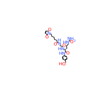 NC(=O)NCCC[C@H](NC(=O)CNC(=O)CCCCCN1C(=O)C=CC1=O)C(=O)Nc1ccc(CO)cc1